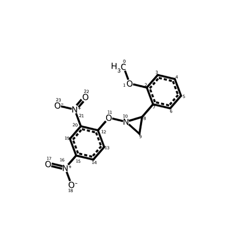 COc1ccccc1C1CN1Oc1ccc([N+](=O)[O-])cc1[N+](=O)[O-]